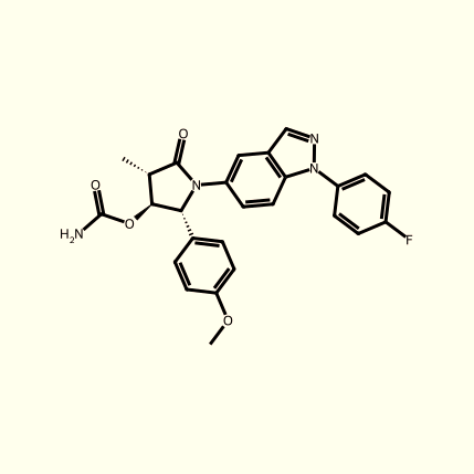 COc1ccc([C@@H]2[C@@H](OC(N)=O)[C@H](C)C(=O)N2c2ccc3c(cnn3-c3ccc(F)cc3)c2)cc1